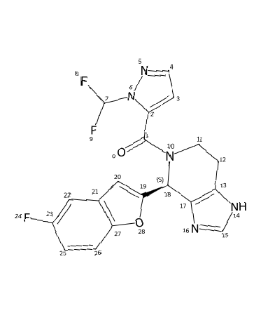 O=C(c1ccnn1C(F)F)N1CCc2[nH]cnc2[C@H]1c1cc2cc(F)ccc2o1